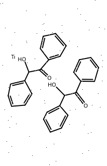 O=C(c1ccccc1)C(O)c1ccccc1.O=C(c1ccccc1)C(O)c1ccccc1.[Ti]